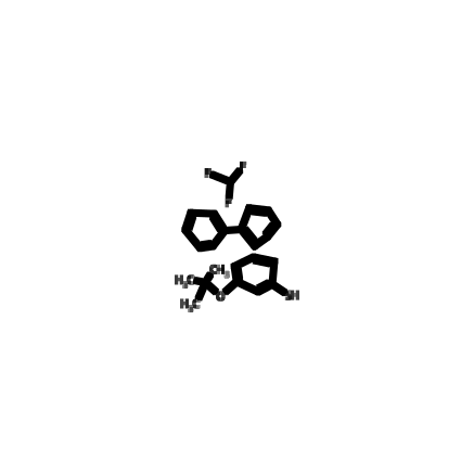 CC(C)(C)Oc1cccc(S)c1.FC(F)F.c1ccc(-c2ccccc2)cc1